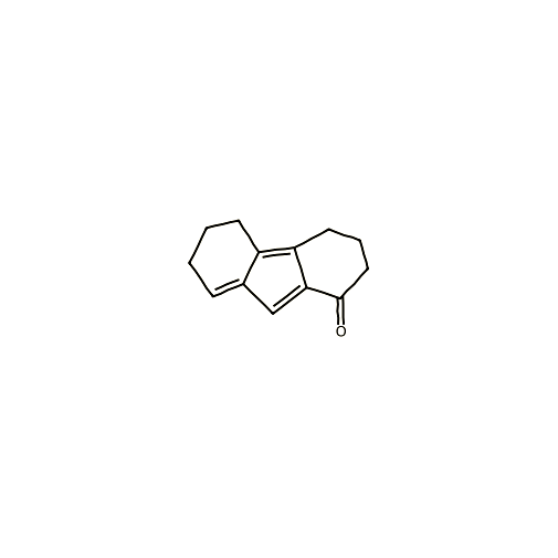 O=C1CCCC2=C3CCCC=C3C=C12